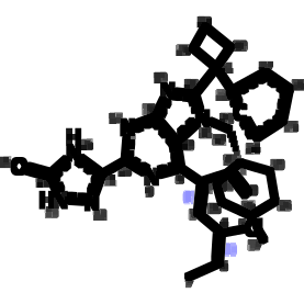 C=C/C(=C\C(Cl)=C/C)c1nc(-c2n[nH]c(=O)[nH]2)nc2nc(C3(c4ccccc4)CCC3)n(C[C@H]3CC[C@H](C)CC3)c12